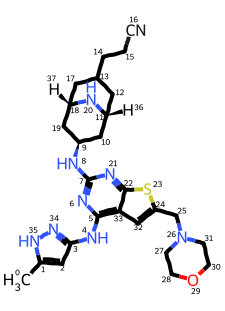 Cc1cc(Nc2nc(N[C@@H]3C[C@H]4CC(CCC#N)C[C@@H](C3)N4)nc3sc(CN4CCOCC4)cc23)n[nH]1